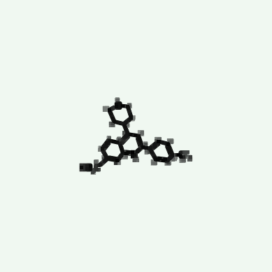 O=C(O)c1ccc2c(C3CCOCC3)cc(-c3ccc(C(F)(F)F)cc3)nc2c1